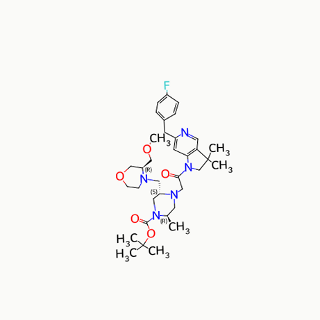 COC[C@@H]1COCCN1C[C@H]1CN(C(=O)OC(C)(C)C)[C@H](C)CN1CC(=O)N1CC(C)(C)c2cnc(Cc3ccc(F)cc3)cc21